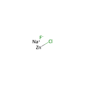 [Cl][Zn].[F-].[Na+]